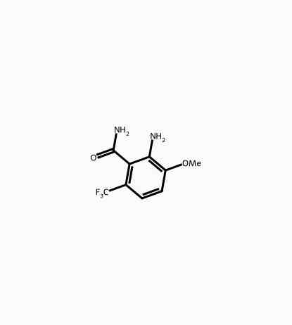 COc1ccc(C(F)(F)F)c(C(N)=O)c1N